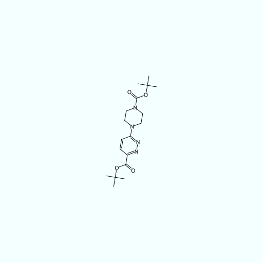 CC(C)(C)OC(=O)c1ccc(N2CCN(C(=O)OC(C)(C)C)CC2)nn1